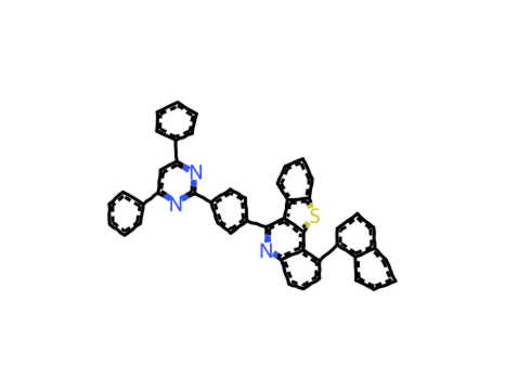 c1ccc(-c2cc(-c3ccccc3)nc(-c3ccc(-c4nc5cccc(-c6cccc7ccccc67)c5c5sc6ccccc6c45)cc3)n2)cc1